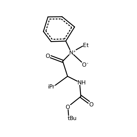 CC[N+]([O-])(C(=O)C(NC(=O)OC(C)(C)C)C(C)C)c1ccccc1